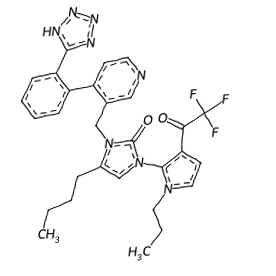 CCCCc1cn(-c2c(C(=O)C(F)(F)F)ccn2CCC)c(=O)n1Cc1cnccc1-c1ccccc1-c1nnn[nH]1